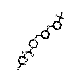 O=C(Nc1ccc(Cl)nn1)N1CCN(Cc2cccc(Oc3cccc(C(F)(F)F)c3)c2)CC1